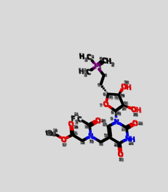 C=P(C)(C)CC[C@H]1O[C@@H](n2cc(CN(CC(=O)OC(C)(C)C)C(=O)C(F)(F)F)c(=O)[nH]c2=O)[C@H](O)[C@@H]1O